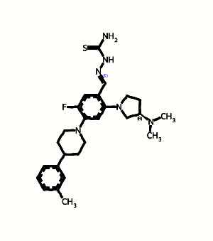 Cc1cccc(C2CCN(c3cc(N4CC[C@@H](N(C)C)C4)c(/C=N/NC(N)=S)cc3F)CC2)c1